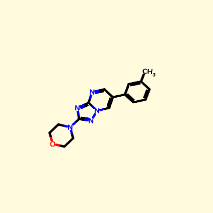 Cc1cccc(-c2cnc3nc(N4CCOCC4)nn3c2)c1